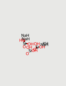 O=[Si](O)O.O=[Si](O)O.O=[Si](O)O.[KH].[NaH].[NaH].[NaH]